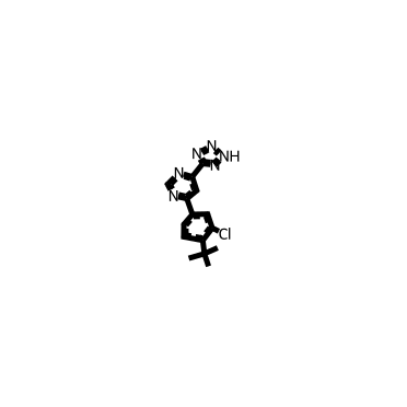 CC(C)(C)c1ccc(-c2cc(-c3nn[nH]n3)ncn2)cc1Cl